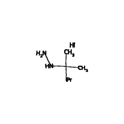 CC(C)C(C)(C)NN.I